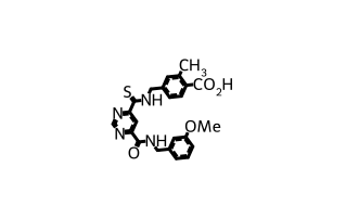 COc1cccc(CNC(=O)c2cc(C(=S)NCc3ccc(C(=O)O)c(C)c3)ncn2)c1